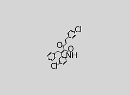 O=C(/C=C/c1ccc(Cl)cc1)c1c(Cc2ccccc2)c2cc(Cl)ccc2[nH]c1=O